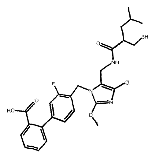 COc1nc(Cl)c(CNC(=O)C(CS)CC(C)C)n1Cc1ccc(-c2ccccc2C(=O)O)cc1F